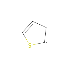 [CH]1CC=CS1